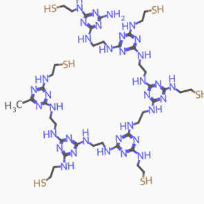 Cc1nc(NCCS)nc(NCCNc2nc(NCCS)nc(NCCNc3nc(NCCS)nc(NCCNc4nc(NCCS)nc(NCCNc5nc(NCCS)nc(NCCNc6nc(N)nc(NCCS)n6)n5)n4)n3)n2)n1